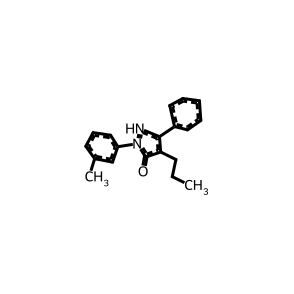 CCCc1c(-c2ccccc2)[nH]n(-c2cccc(C)c2)c1=O